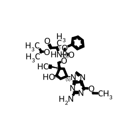 C#C[C@@]1(CO[P@@](=O)(N[C@@H](C)C(=O)OC(C)C)Oc2ccccc2)C[C@H](n2cnc3c(OCC)nc(N)nc32)C[C@H]1O